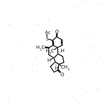 C=C1C[C@@H]2[C@H](CC[C@]3(C)C(=O)CC[C@@H]23)[C@@]2(C)C=CC(=O)C(SC(C)=O)=C12